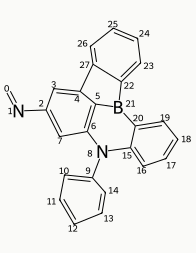 C=Nc1cc2c3c(c1)N(c1ccccc1)c1ccccc1B3c1ccccc1-2